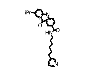 CC(C)c1ccc2nc3ccc(C(=O)NCCCCCCc4cccnc4)cc3c(=O)n2c1